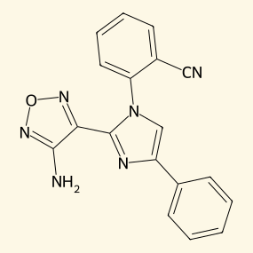 N#Cc1ccccc1-n1cc(-c2ccccc2)nc1-c1nonc1N